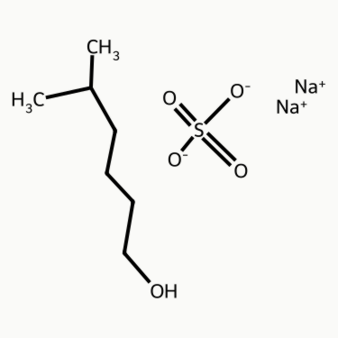 CC(C)CCCCO.O=S(=O)([O-])[O-].[Na+].[Na+]